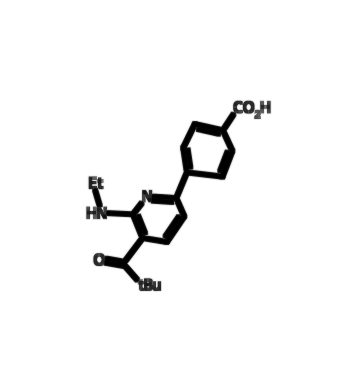 CCNc1nc(-c2ccc(C(=O)O)cc2)ccc1C(=O)C(C)(C)C